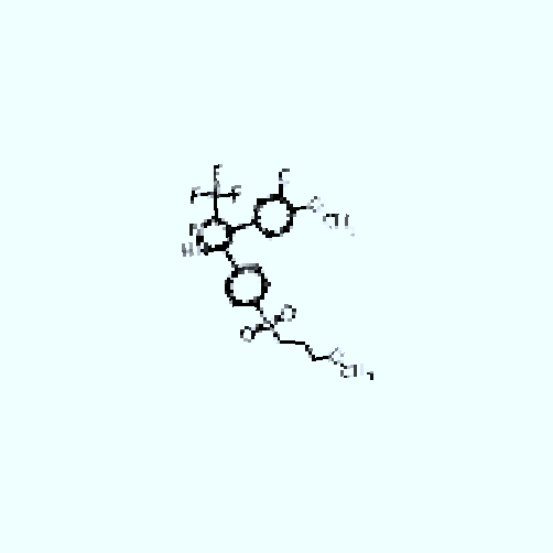 COCCCS(=O)(=O)c1ccc(-c2[nH]nc(C(F)(F)F)c2-c2ccc(OC)c(Cl)c2)cc1